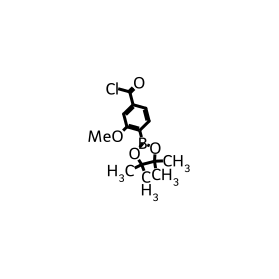 COc1cc(C(=O)Cl)ccc1B1OC(C)(C)C(C)(C)O1